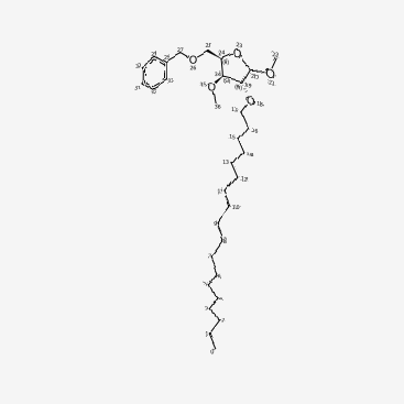 CCCCCCCCCCCCCCCCCCO[C@H]1C(OC)O[C@H](COCc2ccccc2)[C@@H]1OC